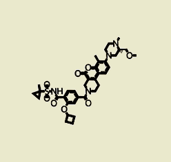 COC[C@H]1CN(c2ccc3c4c(c(=O)oc3c2C)CN(C(=O)c2ccc(C(=O)NS(=O)(=O)C3(C)CC3)c(OC3CCC3)c2)CC4)CCN1C